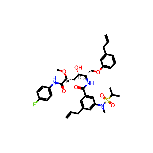 C=CCc1cccc(OC[C@H](NC(=O)c2cc(CC=C)cc(N(C)S(=O)(=O)C(C)C)c2)[C@@H](O)C[C@@H](OC)C(=O)Nc2ccc(F)cc2)c1